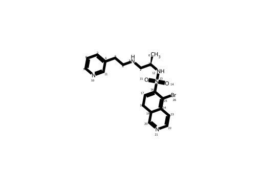 C[C@H](CNCCc1cccnc1)NS(=O)(=O)C1=CCC2C=NC=CC2=C1Br